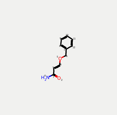 NC(=O)C=COCc1ccccc1